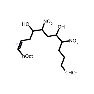 CCCCCCCC/C=C\CC(O)C(CC(O)C(CCC[C]=O)[N+](=O)[O-])[N+](=O)[O-]